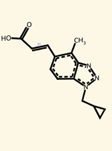 Cc1c(/C=C/C(=O)O)ccc2c1nnn2CC1CC1